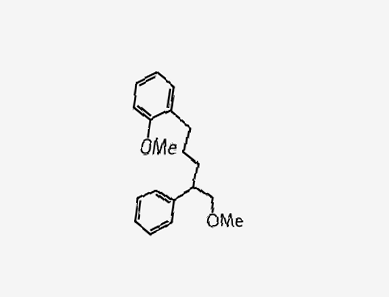 COCC(CCCc1ccccc1OC)c1ccccc1